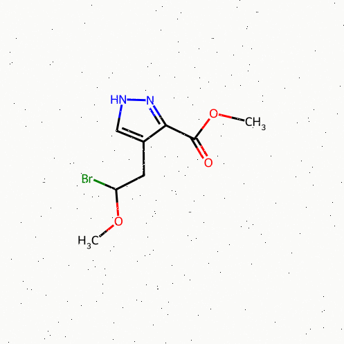 COC(=O)c1n[nH]cc1CC(Br)OC